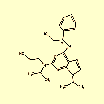 CC(C)N(CCO)c1nc(N[C@@H](CO)c2ccccc2)c2ncn(C(C)C)c2n1